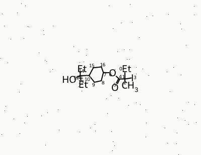 CCC(C)(I)C(=O)OC1CCC(C(O)(CC)CC)CC1